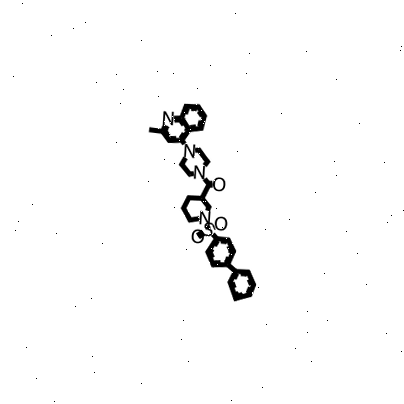 Cc1cc(N2CCN(C(=O)C3CCCN(S(=O)(=O)c4ccc(-c5ccccc5)cc4)C3)CC2)c2ccccc2n1